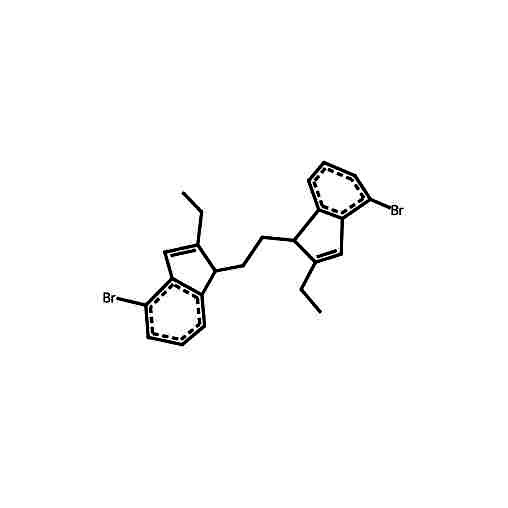 CCC1=Cc2c(Br)cccc2C1CCC1C(CC)=Cc2c(Br)cccc21